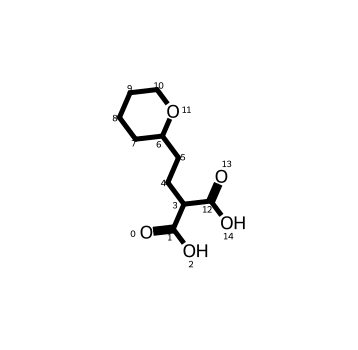 O=C(O)C(CCC1CCCCO1)C(=O)O